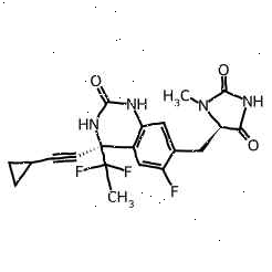 CN1C(=O)NC(=O)[C@H]1Cc1cc2c(cc1F)[C@@](C#CC1CC1)(C(C)(F)F)NC(=O)N2